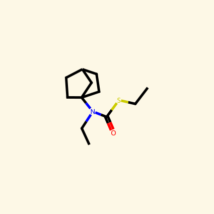 CCSC(=O)N(CC)C12CCC(CC1)C2